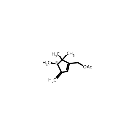 C=C1C=C(COC(C)=O)C(C)(C)[C@@H]1C